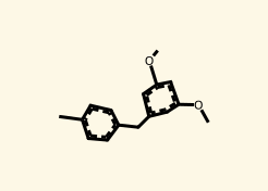 COc1cc(Cc2ccc(C)cc2)cc(OC)c1